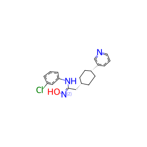 O/N=C(/C[C@H]1CC[C@@H](c2cccnc2)CC1)Nc1cccc(Cl)c1